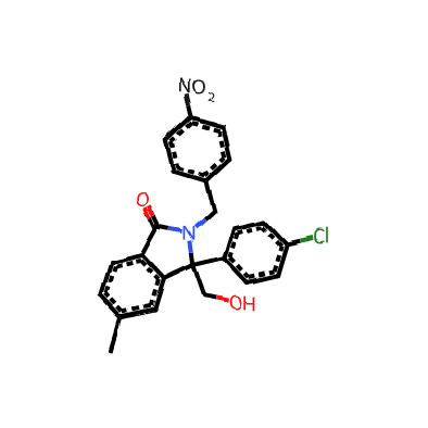 Cc1ccc2c(c1)C(CO)(c1ccc(Cl)cc1)N(Cc1ccc([N+](=O)[O-])cc1)C2=O